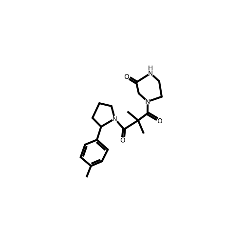 Cc1ccc(C2CCCN2C(=O)C(C)(C)C(=O)N2CCNC(=O)C2)cc1